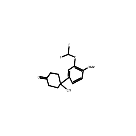 COc1ccc(C2(C#N)CCC(=O)CC2)cc1OC(F)F